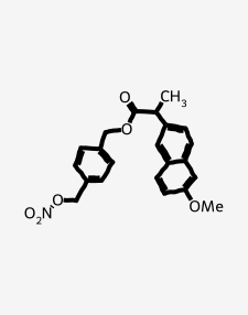 COc1ccc2cc(C(C)C(=O)OCc3ccc(CO[N+](=O)[O-])cc3)ccc2c1